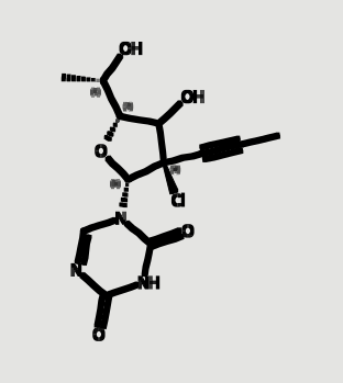 CC#C[C@@]1(Cl)C(O)[C@@H]([C@H](C)O)O[C@H]1n1cnc(=O)[nH]c1=O